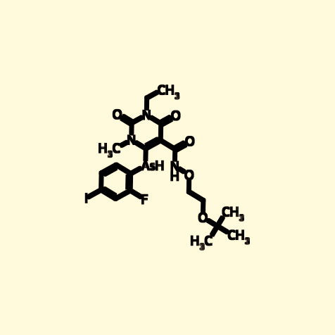 CCn1c(=O)c(C(=O)NOCCOC(C)(C)C)c([AsH]c2ccc(I)cc2F)n(C)c1=O